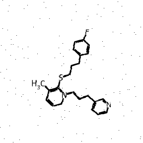 CC1=C(SCCCc2ccc(F)cc2)N(CCCc2cccnc2)CC=C1